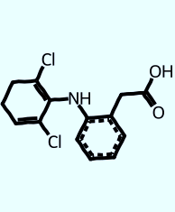 O=C(O)Cc1ccccc1NC1=C(Cl)CCC=C1Cl